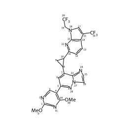 COc1ncc(-c2cc(C3CC3c3ccc4c(C(F)(F)F)cn(CC(F)(F)F)c4n3)c3nccn3n2)c(OC)n1